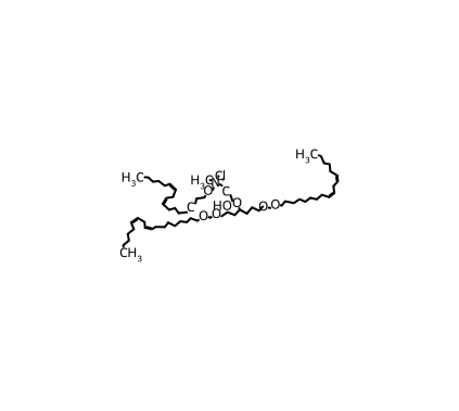 CCCCC/C=C\C/C=C\CCCCCCCCOCOCCCC(CCCOCOCCCCCCCC/C=C\C/C=C\CCCCC)OC(O)CCC[N+](C)(Cl)COCCCCCCCC/C=C\C/C=C\CCCCC